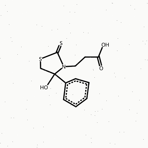 O=C(O)CCN1C(=S)SCC1(O)c1ccccc1